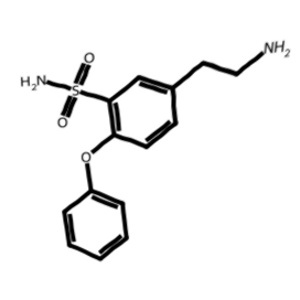 NCCc1ccc(Oc2ccccc2)c(S(N)(=O)=O)c1